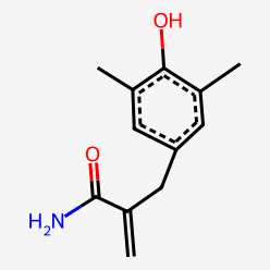 C=C(Cc1cc(C)c(O)c(C)c1)C(N)=O